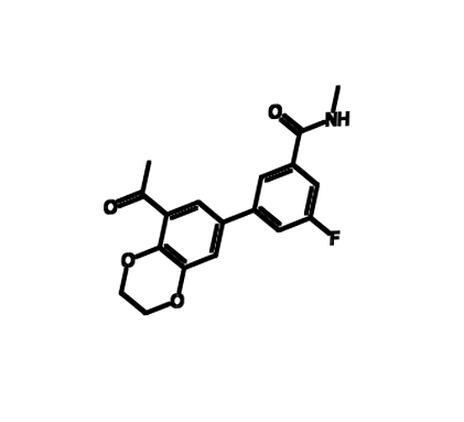 CNC(=O)c1cc(F)cc(-c2cc3c(c(C(C)=O)c2)OCCO3)c1